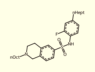 CCCCCCCCN1CCc2cc(S(=O)(=O)Nc3ccc(CCCCCCC)cc3F)ccc2C1